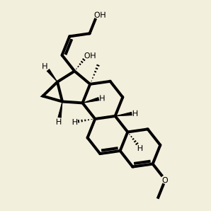 COC1=CC2=CC[C@@H]3[C@H](CC[C@@]4(C)[C@H]3[C@@H]3C[C@@H]3[C@@]4(O)/C=C\CO)[C@H]2CC1